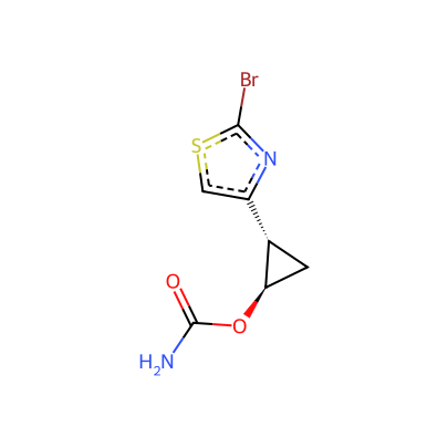 NC(=O)O[C@@H]1C[C@H]1c1csc(Br)n1